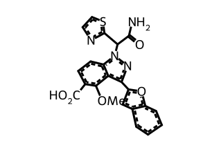 COc1c(C(=O)O)ccc2c1c(-c1cc3ccccc3o1)nn2C(C(N)=O)c1nccs1